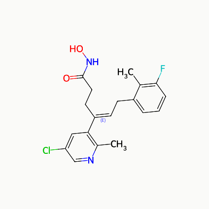 Cc1ncc(Cl)cc1/C(=C/Cc1cccc(F)c1C)CCC(=O)NO